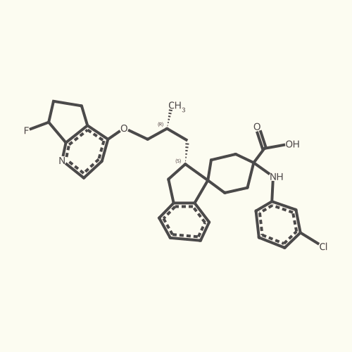 C[C@@H](COc1ccnc2c1CCC2F)C[C@H]1Cc2ccccc2C12CCC(Nc1cccc(Cl)c1)(C(=O)O)CC2